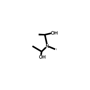 [CH]N(C(C)O)C(C)O